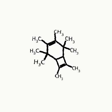 CC1=C(C)C2C1C(C)(C)C(C)=C(C)C2(C)C